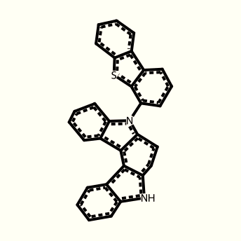 c1ccc2c(c1)[nH]c1ccc3c(c4ccccc4n3-c3cccc4c3sc3ccccc34)c12